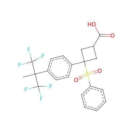 CC(c1ccc(C2(S(=O)(=O)c3ccccc3)CC(C(=O)O)C2)cc1)(C(F)(F)F)C(F)(F)F